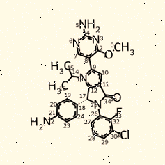 COc1nc(N)ncc1-c1cc2c(n1C(C)C)[C@@H](c1ccc(N)cc1)N(c1cccc(Cl)c1F)C2=O